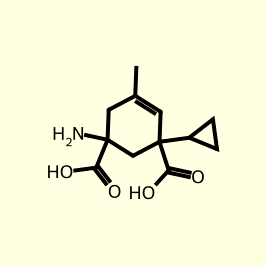 CC1=CC(C(=O)O)(C2CC2)CC(N)(C(=O)O)C1